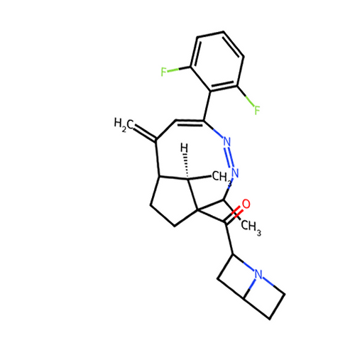 C=C1/C=C(c2c(F)cccc2F)\N=N/C(C)C2(C(=O)C3CC4CCN43)CCC1[C@H]2C